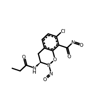 CCC(=O)N[C@H]1Cc2ccc(Cl)c(C(=O)N=O)c2OB1N=O